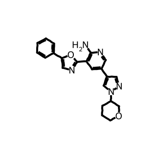 Nc1ncc(-c2cnn(C3CCCOC3)c2)cc1-c1ncc(-c2ccccc2)o1